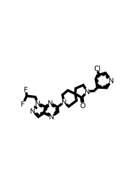 O=C1N(Cc2cncc(Cl)c2)CCC12CCN(c1cnc3cnn(CC(F)F)c3n1)CC2